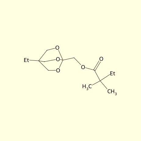 CCC12COC(COC(=O)C(C)(C)CC)(OC1)OC2